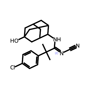 CC(C)(/C(=N/C#N)NC1C2CC3CC1CC(O)(C3)C2)c1ccc(Cl)cc1